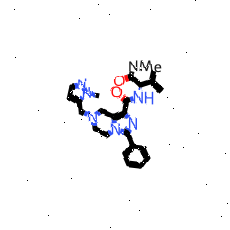 C=C(C)[C@H](NC(=O)c1nc(-c2ccccc2)n2c1CN(Cc1ccnn1C)CC2)C(=O)NC